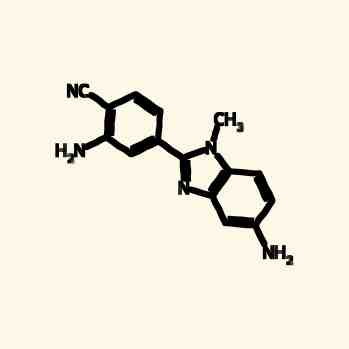 Cn1c(-c2ccc(C#N)c(N)c2)nc2cc(N)ccc21